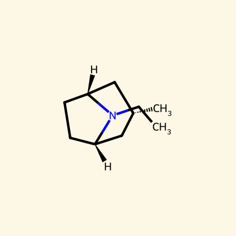 CCN1[C@@H]2CC[C@H]1C[C@@H](C)C2